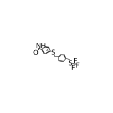 NC(=O)c1ccc(SCc2ccc(CSC(F)(F)F)cc2)cc1